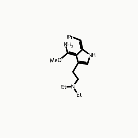 CCN(CC)CCc1c[nH]c(=C/C(C)C)/c1=C(\N)OC